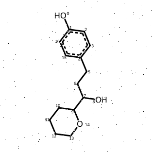 Oc1ccc(CCC(O)C2CCCCO2)cc1